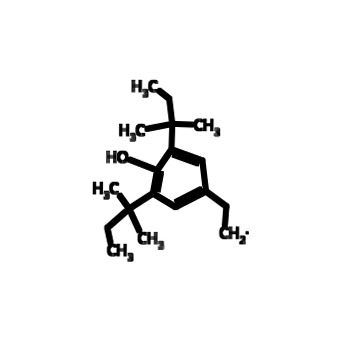 [CH2]Cc1cc(C(C)(C)CC)c(O)c(C(C)(C)CC)c1